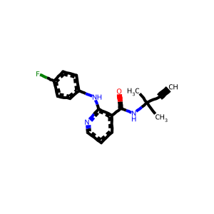 C#CC(C)(C)NC(=O)c1cccnc1Nc1ccc(F)cc1